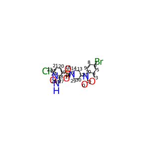 O=C1OC=C2C=C(Br)C=CC2N1C1CCN(S(=O)(=O)C2=CC=C(Cl)N3ONC=C23)CC1